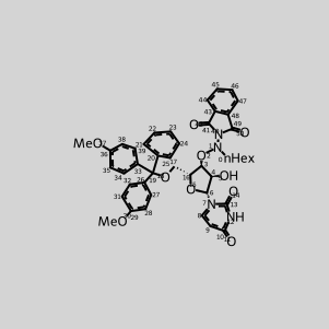 CCCCCCN(O[C@H]1[C@@H](O)[C@H](n2ccc(=O)[nH]c2=O)O[C@@H]1COC(c1ccccc1)(c1ccc(OC)cc1)c1ccc(OC)cc1)N1C(=O)c2ccccc2C1=O